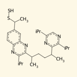 CC(C)c1cnc(C(C)C)c(C(C)CCC(C)c2nc3cc(C(C)SS)ccc3nc2C(C)C)n1